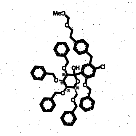 COCOCCc1ccc(Cc2cc(C3(O)O[C@H](COCc4ccccc4)[C@@H](OCc4ccccc4)[C@H](OCc4ccccc4)[C@H]3OCc3ccccc3)c(OCc3ccccc3)cc2Cl)cc1